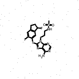 CS(=O)(=O)NCCCn1c(Sc2cc3c(cc2I)CCC3F)nc2c(N)ncnc21